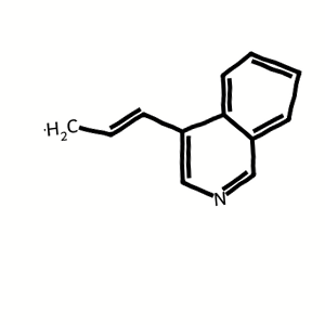 [CH2]C=Cc1cncc2ccccc12